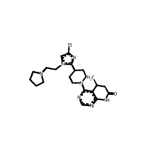 CCc1cn(CCN2CCCC2)c(C2CCN(c3ncnc4c3C(C)CC(=O)N4)CC2)n1